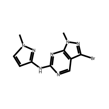 Cn1ccc(Nc2ncc3c(Br)nn(C)c3n2)n1